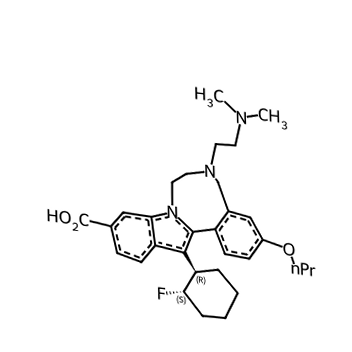 CCCOc1ccc2c(c1)CN(CCN(C)C)CCn1c-2c([C@H]2CCCC[C@@H]2F)c2ccc(C(=O)O)cc21